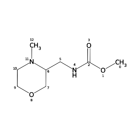 COC(=O)NCC1COCCN1C